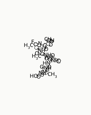 CC[C@@]1(O)C(=O)OCc2c1cc1n(c2=O)Cc2c-1nc1cc(F)c(C)c3c1c2[C@@H](NC(=O)C(C)OCNC(=O)CNC(=O)[C@H](Cc1ccccc1)NC(=O)CNC(=O)CNC(=O)C(CNCC(=O)O)N1C(=O)CC(C)C1=O)CC3